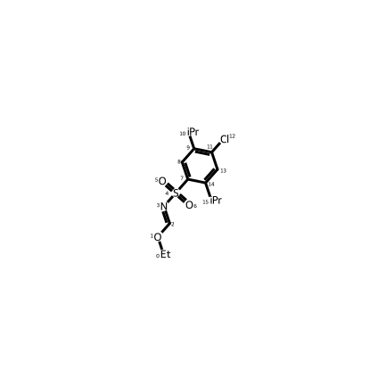 CCOC=NS(=O)(=O)c1cc(C(C)C)c(Cl)cc1C(C)C